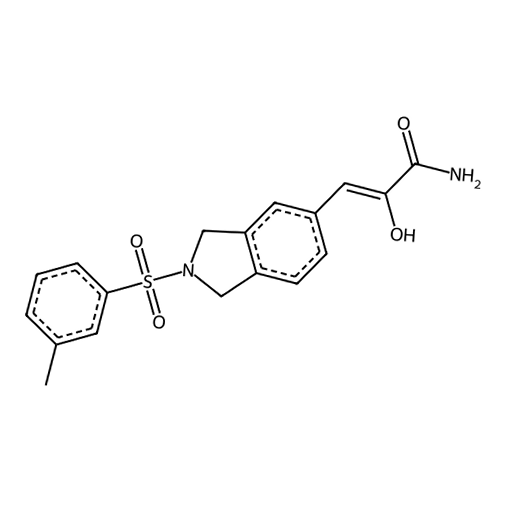 Cc1cccc(S(=O)(=O)N2Cc3ccc(C=C(O)C(N)=O)cc3C2)c1